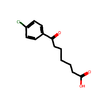 O=C(O)CCCCCC(=O)c1ccc(Cl)cc1